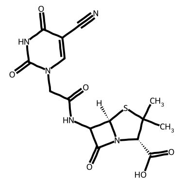 CC1(C)S[C@@H]2C(NC(=O)Cn3cc(C#N)c(=O)[nH]c3=O)C(=O)N2[C@H]1C(=O)O